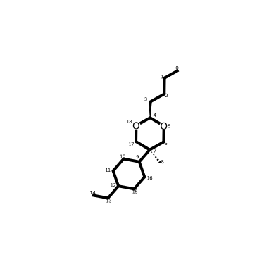 CCCC[C@H]1OC[C@@](C)(C2CCC(CC)CC2)CO1